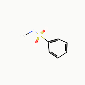 O=[N+]([O-])[N-]S(=O)(=O)c1ccccc1